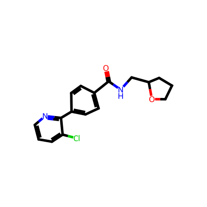 O=C(NCC1CCCO1)c1ccc(-c2ncccc2Cl)cc1